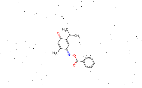 CC1=CC(=O)C(C(C)C)=C/C1=N\OC(=O)c1ccccc1